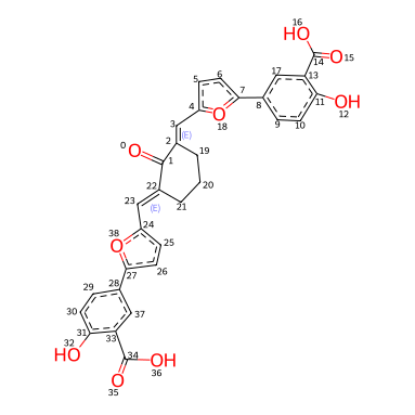 O=C1/C(=C/c2ccc(-c3ccc(O)c(C(=O)O)c3)o2)CCC/C1=C\c1ccc(-c2ccc(O)c(C(=O)O)c2)o1